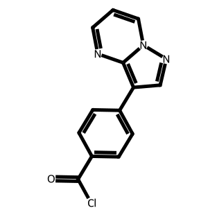 O=C(Cl)c1ccc(-c2cnn3cccnc23)cc1